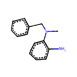 CN(Cc1ccccc1)c1ccccc1N